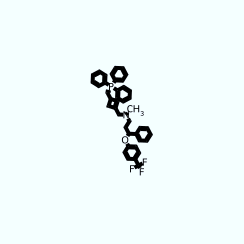 CN(CCC(Oc1ccc(C(F)(F)F)cc1)c1ccccc1)CC1=CC(C=P(c2ccccc2)(c2ccccc2)c2ccccc2)C1